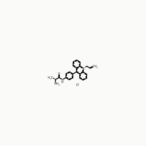 C=CC[n+]1c2ccccc2c(-c2ccc(NC(=O)[C@H](C)N)cc2)c2ccccc21.[Cl-]